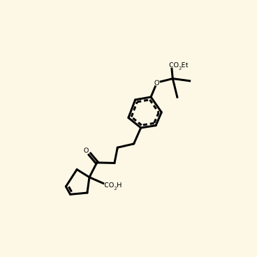 CCOC(=O)C(C)(C)Oc1ccc(CCCC(=O)C2(C(=O)O)CC=CC2)cc1